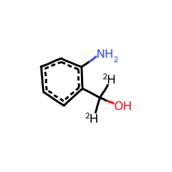 [2H]C([2H])(O)c1ccccc1N